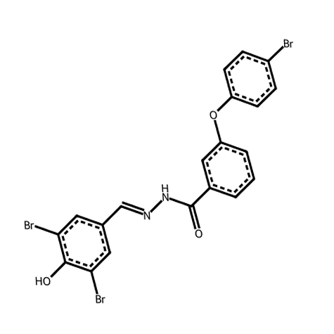 O=C(NN=Cc1cc(Br)c(O)c(Br)c1)c1cccc(Oc2ccc(Br)cc2)c1